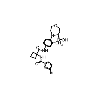 Cc1cc(NC(=O)C2(NC(=O)c3ccc(Br)s3)CCC2)ccc1N1CCOCCC1=NO